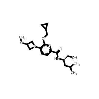 COC1CN(c2ccc(C(=O)N[C@@H](CO)CC(C)C)nc2OCC2CC2)C1